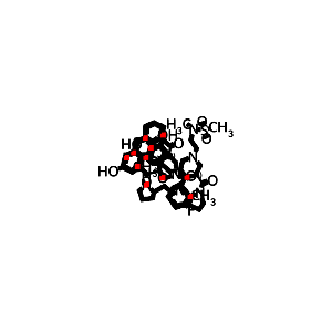 Cc1c(F)cccc1[C@@H]1[C@@H](C(=O)c2cccc(O)c2)CN(CCN(C)S(C)(=O)=O)C[C@H]1C(=O)N1CCCC1N(CCC1CCCN1)C(=O)N1C[C@H](C(=O)c2cccc(O)c2)[C@H](c2cccc(F)c2C)[C@H](C(=O)c2cccc(O)c2)C1